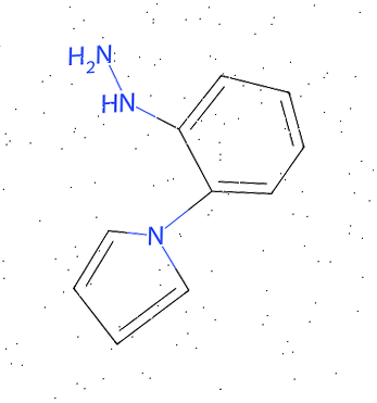 NNc1ccccc1-n1cccc1